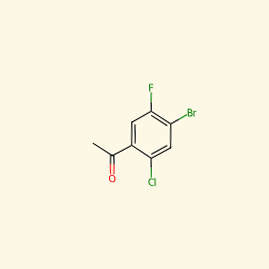 CC(=O)c1cc(F)c(Br)cc1Cl